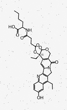 CCCCC(NC(=O)CCC(=O)O[C@]1(CC)C(=O)OCc2c1cc1n(c2=O)Cc2c-1nc1ccc(O)cc1c2CC)C(=O)O